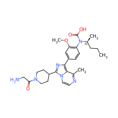 CCC[C@H](C)N(C(=O)O)c1ccc(-c2nc(C3CCN(C(=O)CN)CC3)n3ccnc(C)c23)cc1OC